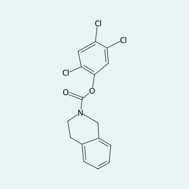 O=C(Oc1cc(Cl)c(Cl)cc1Cl)N1CCc2ccccc2C1